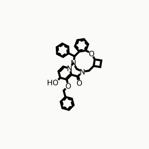 O=C1C2=C(OCc3ccccc3)C(O)C=CN2N2CN1CC1CCC1Oc1ccccc1C2c1ccccc1